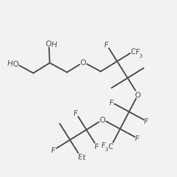 CCC(C)(F)C(F)(F)OC(F)(C(F)(F)F)C(F)(F)OC(C)(C)C(F)(COCC(O)CO)C(F)(F)F